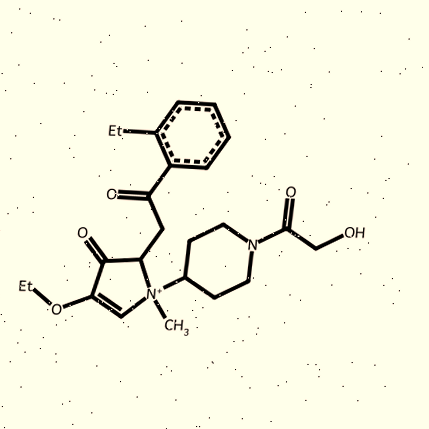 CCOC1=C[N+](C)(C2CCN(C(=O)CO)CC2)C(CC(=O)c2ccccc2CC)C1=O